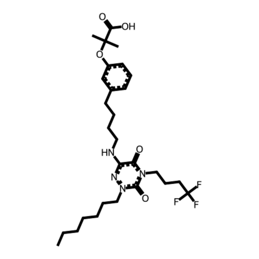 CCCCCCCn1nc(NCCCCc2cccc(OC(C)(C)C(=O)O)c2)c(=O)n(CCCC(F)(F)F)c1=O